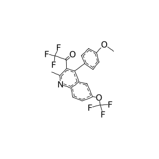 COc1ccc(-c2c(C(=O)C(F)(F)F)c(C)nc3ccc(OC(F)(F)F)cc23)cc1